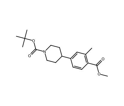 COC(=O)c1ccc(C2CCN(C(=O)OC(C)(C)C)CC2)cc1C